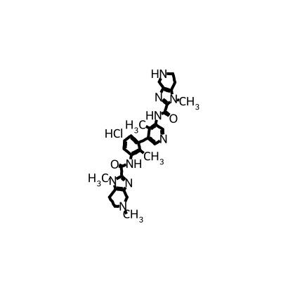 Cc1c(NC(=O)c2nc3c(n2C)CCNC3)cncc1-c1cccc(NC(=O)c2nc3c(n2C)CCN(C)C3)c1C.Cl